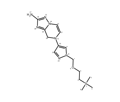 C[Si](C)(C)CCOCn1cc(N2C=Cn3nc(N)nc3C2)cn1